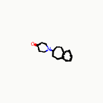 O=C1CCN(C2CCc3ccccc3CC2)CC1